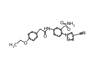 CCOc1ccc(CC(=O)Nc2ccc(-n3cc(C#N)cn3)c(S(N)(=O)=O)c2)cc1